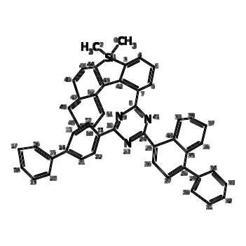 C[Si]1(C)c2cccc(-c3nc(-c4ccc(-c5ccccc5)cc4)nc(-c4ccc(-c5ccccc5)c5ccccc45)n3)c2-c2c1ccc1ccccc21